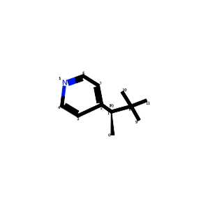 C[C@@H](c1ccncc1)C(C)(C)C